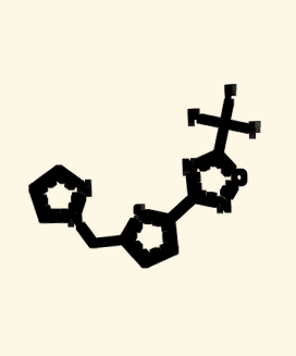 FC(F)(F)c1nc(-c2ccc(Cn3cccn3)s2)no1